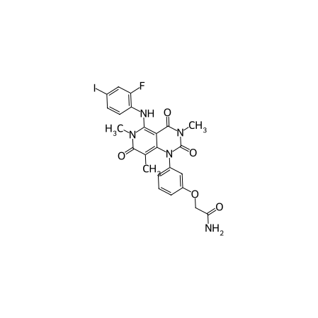 Cc1c(=O)n(C)c(Nc2ccc(I)cc2F)c2c(=O)n(C)c(=O)n(-c3cccc(OCC(N)=O)c3)c12